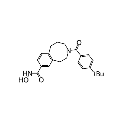 CC(C)(C)c1ccc(C(=O)N2CCCc3ccc(C(=O)NO)cc3CC2)cc1